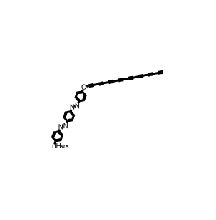 C#CC#CC#CC#CC#CC#CC#CC#COc1ccc(N=Nc2ccc(N=Nc3ccc(CCCCCC)cc3)cc2)cc1